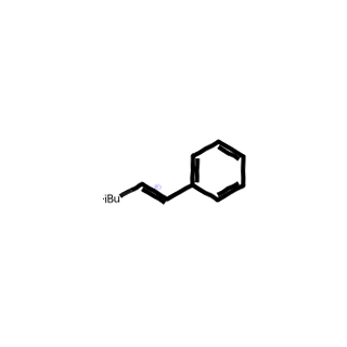 CC[C](C)/C=C/c1ccccc1